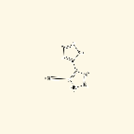 N#Cc1[nH]nnc1-c1cccs1